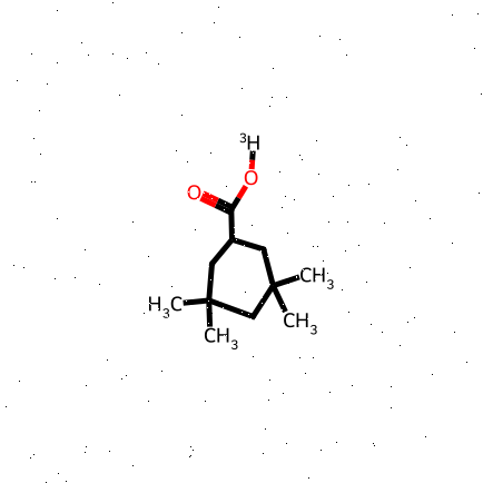 [3H]OC(=O)C1CC(C)(C)CC(C)(C)C1